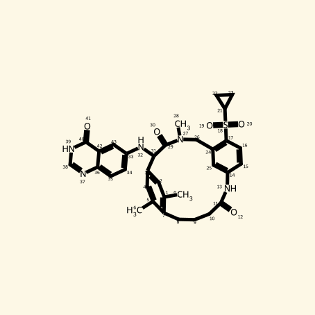 Cc1cc2cc(C)c1CCCC(=O)Nc1ccc(S(=O)(=O)C3CC3)c(c1)CN(C)C(=O)C2Nc1ccc2nc[nH]c(=O)c2c1